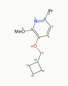 COc1nc(C(C)C)ccc1OCC1CCC1